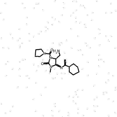 C=C(/N=C1\C(CN)N(C(=O)N2CCCC2)C(=O)N1C)C1CCCCC1